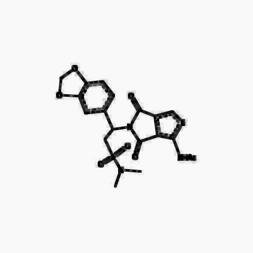 CC(=O)Nc1scc2c1C(=O)N(C(CS(=O)(=O)N(C)C)c1ccc3c(c1)OCO3)C2=O